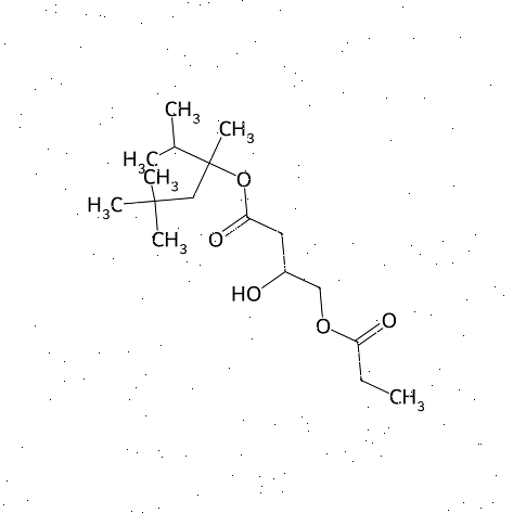 CCC(=O)OCC(O)CC(=O)OC(C)(CC(C)(C)C)C(C)C